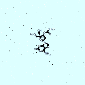 C#C[C@]1(COC(C)=O)O[C@@H](n2cnc3c(N)nc(F)nc32)C[C@@H]1OC(=O)CCCCCC